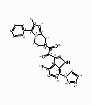 Cc1nc2n(c1-c1ccccc1)CCN(C(=O)C(=O)c1c[nH]c3c(-n4ccnn4)ncc(F)c13)C2